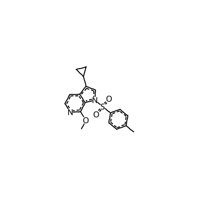 COc1nccc2c(C3CC3)cn(S(=O)(=O)c3ccc(C)cc3)c12